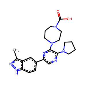 Cc1n[nH]c2ccc(-c3cnc(N4CCCC4)c(N4CCCN(C(=O)O)CC4)n3)cc12